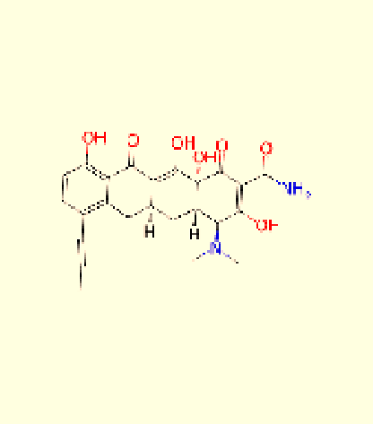 CC#Cc1ccc(O)c2c1C[C@@H]1C[C@H]3[C@H](N(C)C)C(O)=C(C(N)=O)C(=O)[C@]3(O)C(O)=C1C2=O